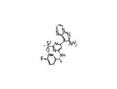 C[C@H](Nc1cc(-c2c(N)nn3cccnc23)nc(S(C)(=O)=O)n1)c1ccc(F)cc1